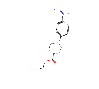 CCOC(=O)C1CCN(c2ccc(/C(N)=N\O)cc2)CC1